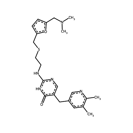 Cc1cc(Cc2cnc(NCCSCc3ccc(CN(C)C)o3)[nH]c2=O)cnc1C